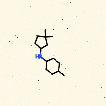 CC1CCC(NC2C[CH]C(C)(C)C2)CC1